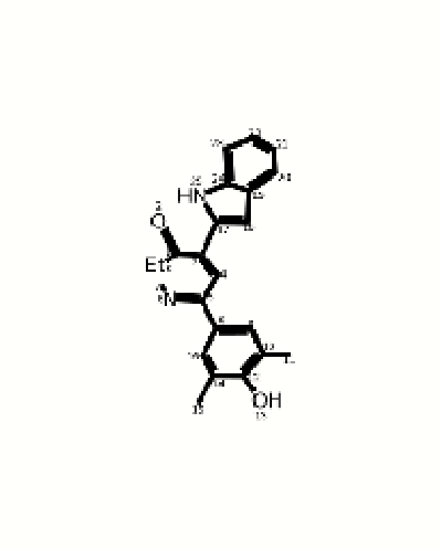 CCC(=O)/C(=C\C(=N/C)c1cc(C)c(O)c(C)c1)c1cc2ccccc2[nH]1